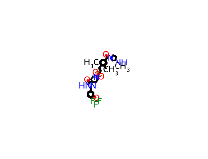 CNC1CCN(C(=O)c2cc(C)c(C=CS(=O)(=O)N3CCC4(CC3)N=C(c3cccc(OC(F)(F)F)c3)NC4=O)c(C)c2)C1